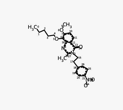 CCCCCOc1c(OC)ccc2c(=O)n(CCc3ccc([N+](=O)[O-])cc3)c(C)nc12